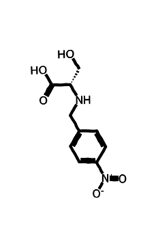 O=C(O)[C@H](CO)NCc1ccc([N+](=O)[O-])cc1